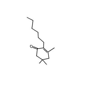 CCCCCCC1=C(C)CC(C)(C)CC1=O